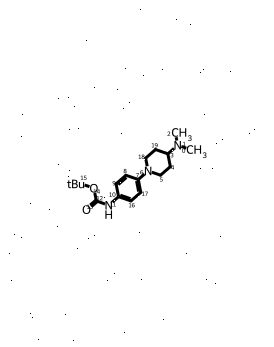 CN(C)C1CCN(c2ccc(NC(=O)OC(C)(C)C)cc2)CC1